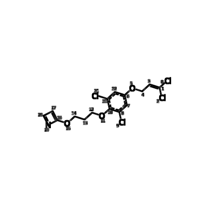 ClC(Cl)=CCOc1cc(Cl)c(OCCCOC2=CC=N2)c(Cl)c1